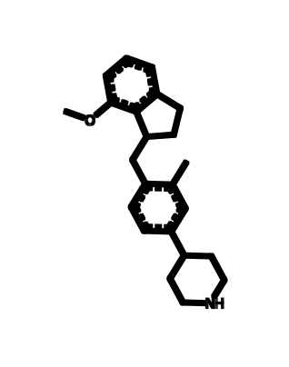 COc1cccc2c1C(Cc1ccc(C3CCNCC3)cc1C)CC2